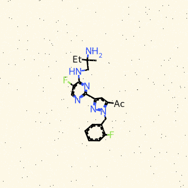 CCC(C)(N)CNc1nc(-c2cc(C(C)=O)n(Cc3ccccc3F)n2)ncc1F